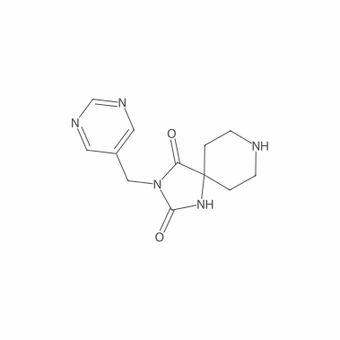 O=C1NC2(CCNCC2)C(=O)N1Cc1cncnc1